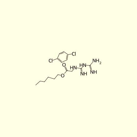 CCCCCCOC(=O)CNC(=N)NC(=N)N.Clc1ccc(Cl)cc1